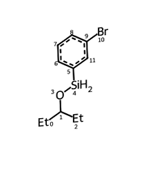 CCC(CC)O[SiH2]c1cccc(Br)c1